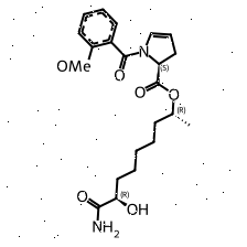 COc1ccccc1C(=O)N1C=CC[C@H]1C(=O)O[C@H](C)CCCCC[C@@H](O)C(N)=O